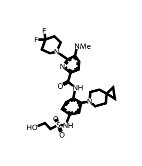 CNc1ccc(C(=O)Nc2ccc(NS(=O)(=O)CCO)cc2N2CCC3(CC2)CC3)nc1N1CCC(F)(F)CC1